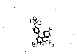 O=[SH](=O)Cc1ccc(-c2cc(Br)nc(C(F)(F)F)c2-c2ccc(F)cc2)cc1